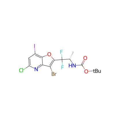 C[C@H](NC(=O)OC(C)(C)C)C(F)(F)c1oc2c(I)cc(Cl)nc2c1Br